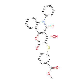 COC(=O)c1cccc(Sc2c(O)c3c(=O)n(-c4ccccc4)c4ccccc4c3oc2=O)c1